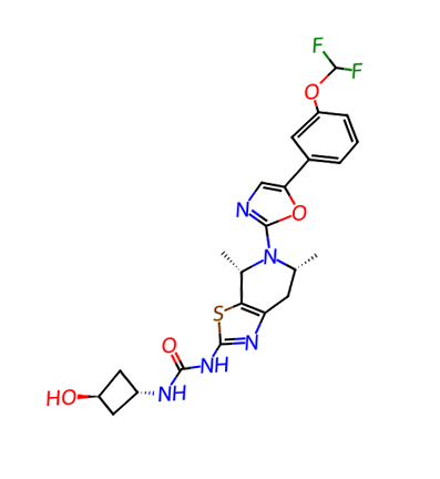 C[C@@H]1Cc2nc(NC(=O)N[C@H]3C[C@H](O)C3)sc2[C@H](C)N1c1ncc(-c2cccc(OC(F)F)c2)o1